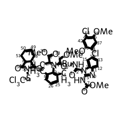 CCCCNC(=O)n1c(NC(=O)OC)nc2ccccc21.COCC(=O)N(c1c(C)cccc1C)C(C)C(=O)OC.COc1cc(Cl)c(OC)cc1Cl.O=C1C2CC=CCC2C(=O)N1SC(Cl)(Cl)Cl